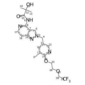 Cc1cc(Cn2cc3c(NC(=O)C(C)(C)O)nccc3n2)cnc1OCCOCC(F)(F)F